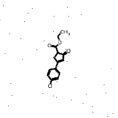 CCOC(=O)C1CC(c2ccc(Cl)cc2)=CC1=O